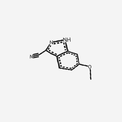 COc1ccc2c(C#N)n[nH]c2c1